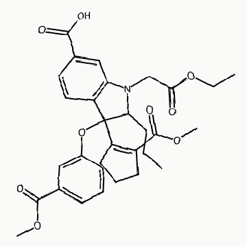 CCCC1N(CC(=O)OCC)c2cc(C(=O)O)ccc2C1(Oc1cccc(C(=O)OC)c1)C1=C(C(=O)OC)CCC1